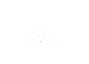 COC(=O)Cn1c(=O)n([C@@H]2O[C@H](COC(C)=O)C[C@H]2OC(C)=O)c2nc(N)ncc21